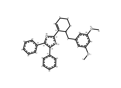 COc1cc(CC2CCCC=C2c2nc(-c3ccccc3)c(-c3ccccc3)o2)cc(OC)c1